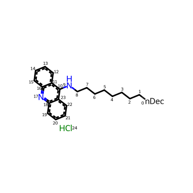 CCCCCCCCCCCCCCCCCCNc1c2ccccc2nc2ccccc12.Cl